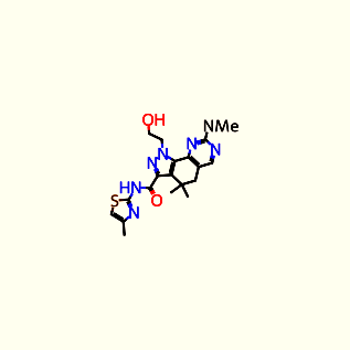 CNc1ncc2c(n1)-c1c(c(C(=O)Nc3nc(C)cs3)nn1CCO)C(C)(C)C2